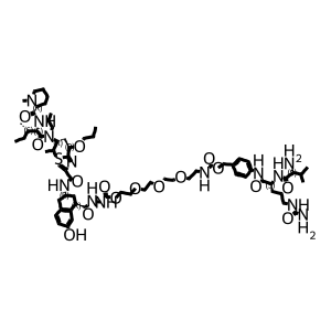 CCCO[C@H](C[C@H](C(C)C)N(CCC)C(=O)[C@@H](NC(=O)[C@H]1CCCCN1C)[C@@H](C)CC)c1nc(C(=O)N[C@H]2Cc3ccc(O)cc3[C@H](C(=O)NNC(=O)OCCOCCOCCOCCNC(=O)OCc3ccc(NC(=O)[C@H](CCCNC(N)=O)NC(=O)[C@@H](N)C(C)C)cc3)C2)cs1